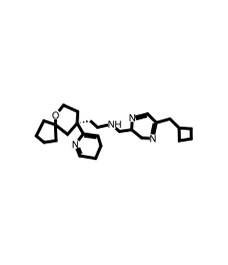 C1=NC([C@]2(CCNCC3CN=C(CC4CCC4)C=N3)CCOC3(CCCC3)C2)=CCC1